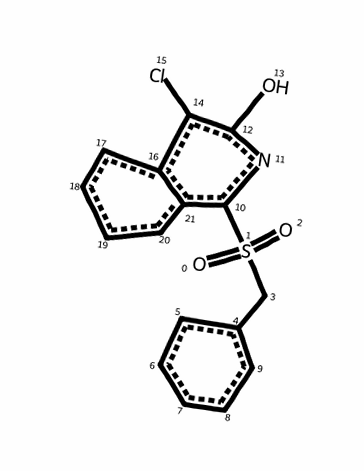 O=S(=O)(Cc1ccccc1)c1nc(O)c(Cl)c2ccccc12